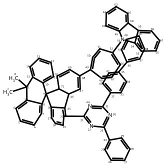 CC1(C)c2ccccc2C2(c3ccccc31)c1cccc(-c3nc(-c4ccccc4)nc(-c4ccc(-c5ccccc5)cc4)n3)c1C1C=C(C3=C=CC(n4c5ccccc5c5ccccc54)=CC=C3)C=CC12